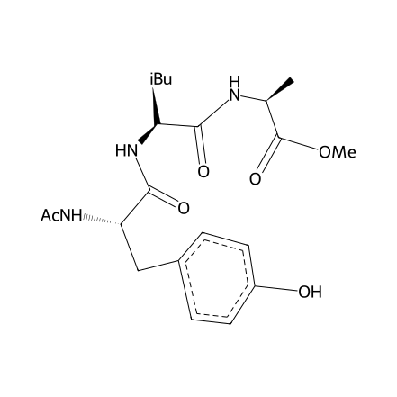 CC[C@H](C)[C@H](NC(=O)[C@H](Cc1ccc(O)cc1)NC(C)=O)C(=O)N[C@@H](C)C(=O)OC